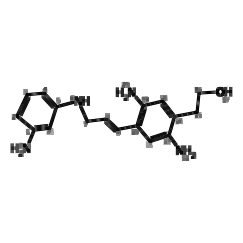 Nc1cccc(NCC=Cc2cc(N)c(CCO)cc2N)c1